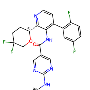 CC(C)Nc1ncc(C(=O)Nc2c(-c3cc(F)ccc3F)ccnc2[C@H]2CCC(F)(F)CO2)cn1